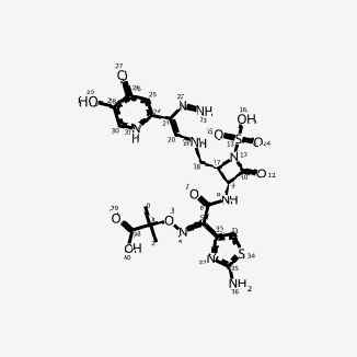 CC(C)(O/N=C(\C(=O)N[C@@H]1C(=O)N(S(=O)(=O)O)[C@@H]1CN/C=C(\N=N)c1cc(=O)c(O)c[nH]1)c1csc(N)n1)C(=O)O